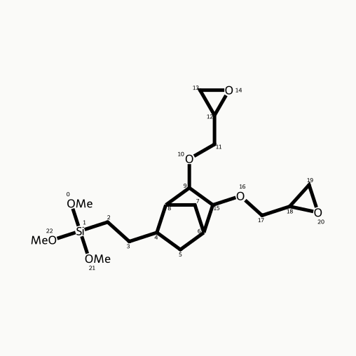 CO[Si](CCC1CC2CC1C(OCC1CO1)C2OCC1CO1)(OC)OC